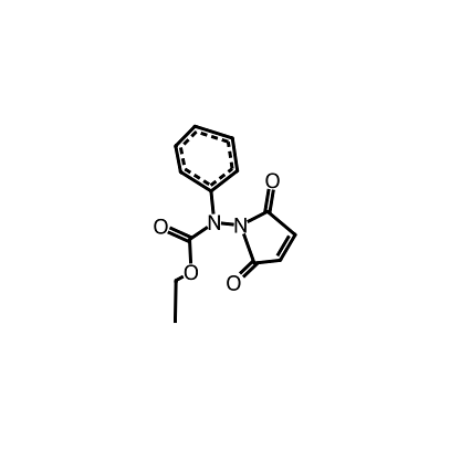 CCOC(=O)N(c1ccccc1)N1C(=O)C=CC1=O